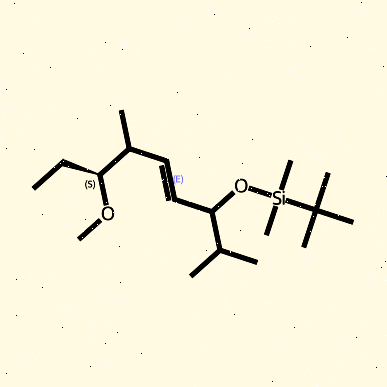 CC[C@H](OC)C(C)/C=C/C(O[Si](C)(C)C(C)(C)C)C(C)C